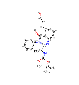 C[C@H](NC(=O)OC(C)(C)C)c1nc2cccc(CCC=O)c2c(=O)n1-c1ccccc1